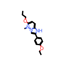 CCCOC1=CC=C2NC(c3ccc(OCC)cc3)=CN2N1C